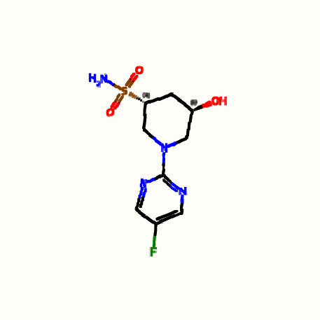 NS(=O)(=O)[C@@H]1C[C@@H](O)CN(c2ncc(F)cn2)C1